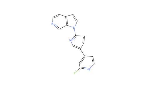 Fc1cc(-c2ccc(-n3ccc4ccncc43)nc2)ccn1